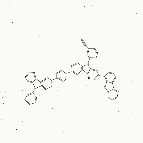 N#Cc1cccc(-n2c3ccc(-c4ccc(-c5ccc6c(c5)c5ccccc5n6-c5ccccc5)cc4)cc3c3ccc(-c4cccc5c4oc4ccccc45)cc32)c1